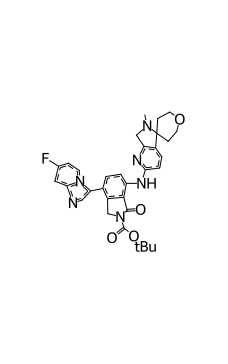 CN1Cc2nc(Nc3ccc(-c4cnc5cc(F)ccn45)c4c3C(=O)N(C(=O)OC(C)(C)C)C4)ccc2C12CCOCC2